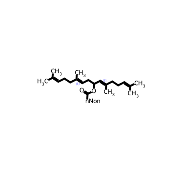 CCCCCCCCCC(=O)OC(/C=C(\C)CCC=C(C)C)C/C=C(\C)CCC=C(C)C